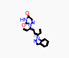 C=C/C(=C\C=C(/C=C)n1ncc2ccccc21)n1ncc(=O)[nH]c1=O